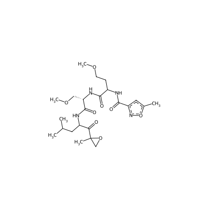 COCCC(NC(=O)c1cc(C)on1)C(=O)N[C@@H](COC)C(=O)NC(CC(C)C)C(=O)C1(C)CO1